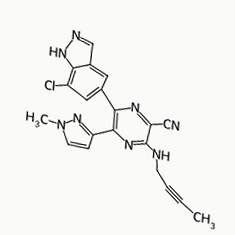 CC#CCNc1nc(-c2ccn(C)n2)c(-c2cc(Cl)c3[nH]ncc3c2)nc1C#N